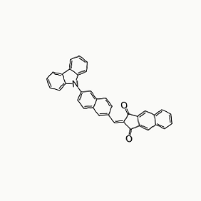 O=C1C(=Cc2ccc3cc(-n4c5ccccc5c5ccccc54)ccc3c2)C(=O)c2cc3ccccc3cc21